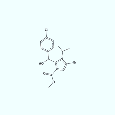 COC(=O)c1cc(Br)n(C(C)C)c1C(O)c1ccc(Cl)cc1